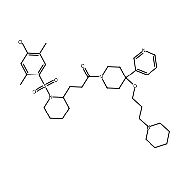 Cc1cc(S(=O)(=O)N2CCCCC2CCC(=O)N2CCC(OCCCN3CCCCC3)(c3cccnc3)CC2)c(C)cc1Cl